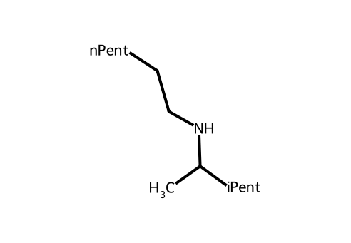 CCCCCCCNC(C)C(C)CCC